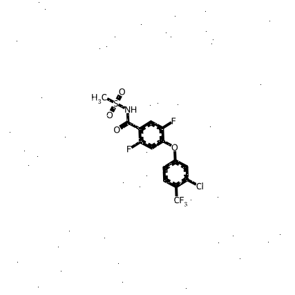 CS(=O)(=O)NC(=O)c1cc(F)c(Oc2ccc(C(F)(F)F)c(Cl)c2)cc1F